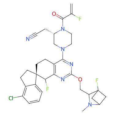 C=C(F)C(=O)N1CCN(c2nc(OCC3N(C)C4CC3(F)C4)nc3c2CC[C@@]2(CCc4c(Cl)cccc42)C3F)C[C@@H]1CC#N